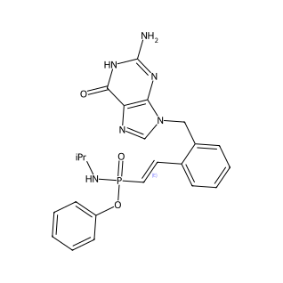 CC(C)NP(=O)(/C=C/c1ccccc1Cn1cnc2c(=O)[nH]c(N)nc21)Oc1ccccc1